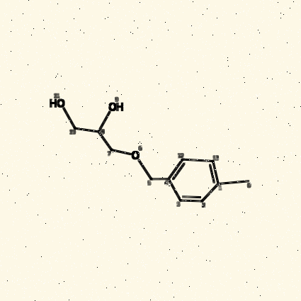 Cc1ccc(COCC(O)CO)cc1